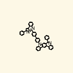 c1ccc(-c2cc3c4ccccc4nc(-c4ccc(-c5ccc(-n6c7ccccc7c7cc8c(cc76)c(-c6ccccc6)nc6ccccc68)cc5)cc4)n3n2)cc1